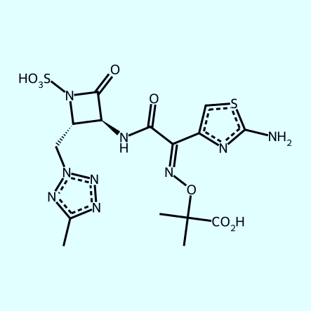 Cc1nnn(C[C@H]2[C@H](NC(=O)C(=NOC(C)(C)C(=O)O)c3csc(N)n3)C(=O)N2S(=O)(=O)O)n1